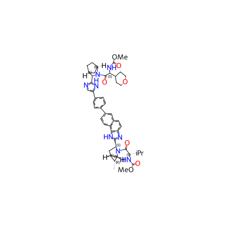 COC(=O)N[C@H](C(=O)N1[C@@H]2[C@H](C)[C@@H]2C[C@H]1c1nc2ccc3cc(-c4ccc(-c5cnc(C6[C@H]7CC[C@H](C7)N6C(=O)[C@@H](NC(=O)OC)C6CCOCC6)[nH]5)cc4)ccc3c2[nH]1)C(C)C